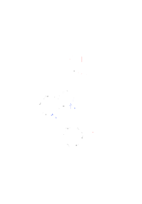 COc1ccccc1Cn1c(C)c(CC(=O)O)c2cccnc21